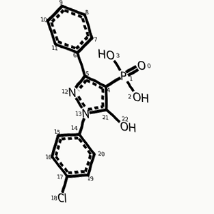 O=P(O)(O)c1c(-c2ccccc2)nn(-c2ccc(Cl)cc2)c1O